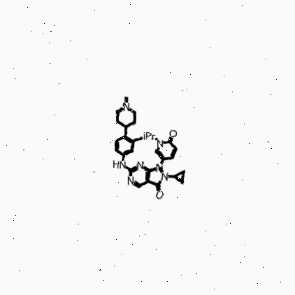 Cc1cc(Nc2ncc3c(=O)n(C4CC4)n(-c4ccc(=O)n(C(C)C)c4)c3n2)ccc1C1CCN(C)CC1